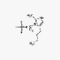 CCCCc1c[nH]c(C)[n+]1C.F[B-](F)(F)F